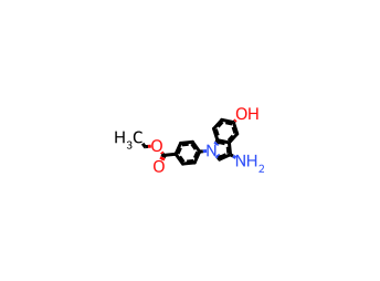 CCOC(=O)c1ccc(-n2cc(N)c3cc(O)ccc32)cc1